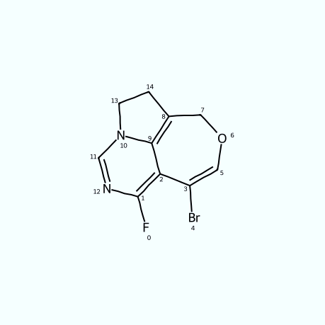 FC1=C2C(Br)=COCC3=C2N(C=N1)CC3